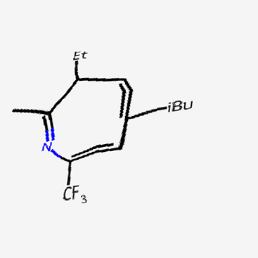 CCC(C)C1=CC(CC)C(C)=NC(C(F)(F)F)=C1